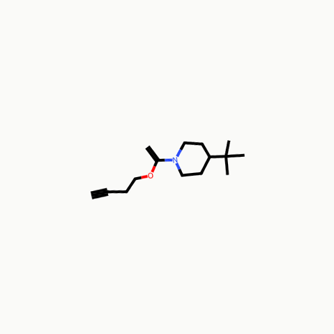 C#CCCOC(=C)N1CCC(C(C)(C)C)CC1